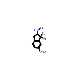 CCNC1Cc2ccc(OC)cc2C1(CC)CC